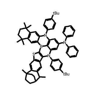 CC1c2cc3c4c(sc3cc2C2(C)CCC1CC2)B1c2cc3c(cc2N(c2ccc(C(C)(C)C)cc2)c2cc(N(c5ccccc5)c5ccccc5)cc(c21)N4c1ccc(C(C)(C)C)cc1)C(C)(C)CCC3(C)C